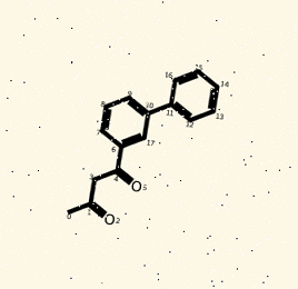 CC(=O)CC(=O)c1cccc(-c2ccccc2)c1